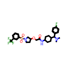 CN(C)C(c1ccc(F)cc1)C1CCC(NC(=O)COC2CCN(S(=O)(=O)c3cccc(C(F)(F)F)c3)C2)CC1